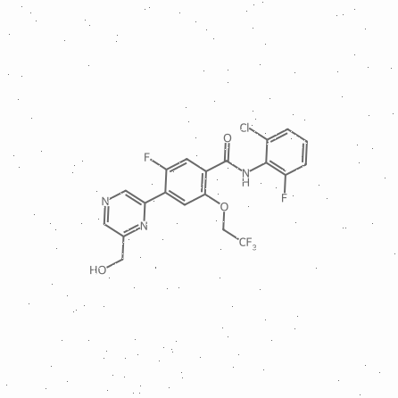 O=C(Nc1c(F)cccc1Cl)c1cc(F)c(-c2cncc(CO)n2)cc1OCC(F)(F)F